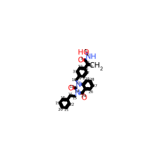 C=C(C(=O)NO)c1ccc(Cn2c(=O)n(CCc3ccccc3)c(=O)c3ccccc32)cc1